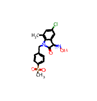 Cc1cc(Cl)cc2c1N(Cc1ccc(S(C)(=O)=O)cc1)C(=O)/C2=N\O